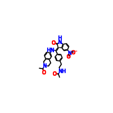 CC(=O)NCCc1ccc(/C(Nc2ccc3c(c2)CCN(C(C)=O)C3)=C2/C(=O)Nc3ccc([N+](=O)[O-])cc32)cc1